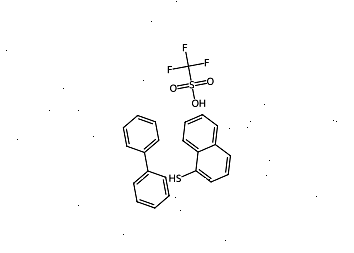 O=S(=O)(O)C(F)(F)F.Sc1cccc2ccccc12.c1ccc(-c2ccccc2)cc1